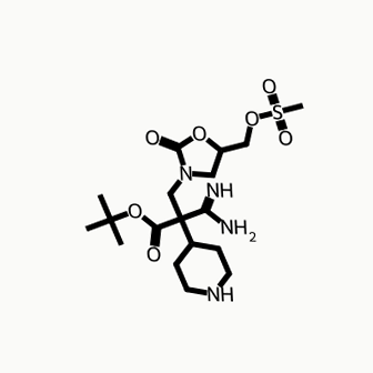 CC(C)(C)OC(=O)C(CN1CC(COS(C)(=O)=O)OC1=O)(C(=N)N)C1CCNCC1